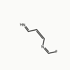 N=C/C=C\N=C/F